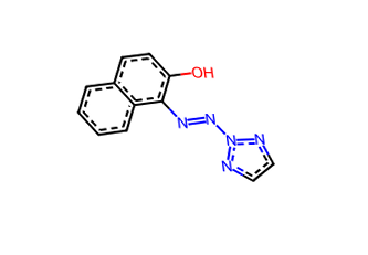 Oc1ccc2ccccc2c1N=Nn1nccn1